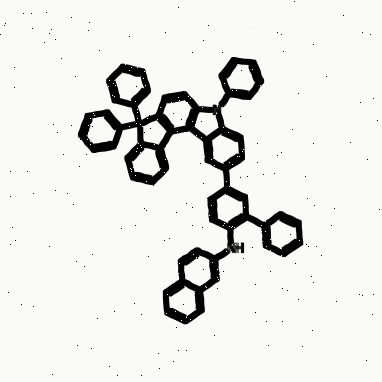 c1ccc(-c2cc(-c3ccc4c(c3)c3c5c(ccc3n4-c3ccccc3)C(c3ccccc3)(c3ccccc3)c3ccccc3-5)ccc2Nc2ccc3ccccc3c2)cc1